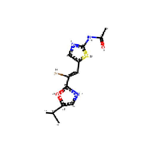 CC(=O)Nc1ncc(C=C(Br)c2ncc(C(C)C)o2)s1